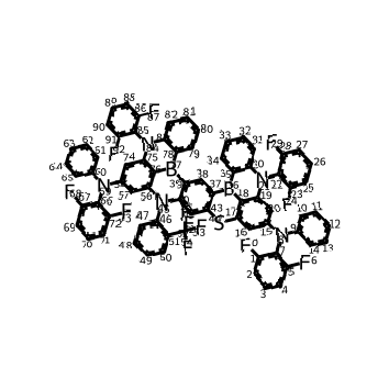 Fc1cccc(F)c1N(c1ccccc1)c1cc2c3c(c1)N(c1c(F)cccc1F)c1ccccc1B3c1cc3c(c(F)c1S2)N(c1ccccc1C(F)(F)F)c1cc(N(c2ccccc2)c2c(F)cccc2F)cc2c1B3c1ccccc1N2c1c(F)cccc1F